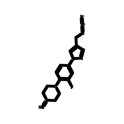 [N-]=[N+]=NCc1cn(-c2ccc(N3CCS(=N)CC3)c(F)c2)nn1